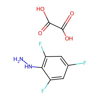 NNc1c(F)cc(F)cc1F.O=C(O)C(=O)O